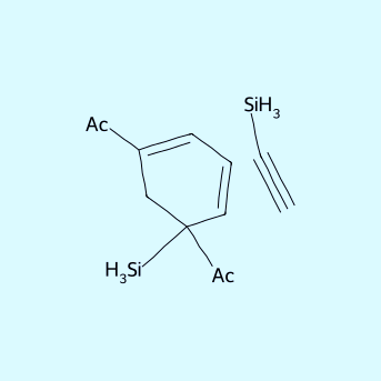 C#C[SiH3].CC(=O)C1=CC=CC([SiH3])(C(C)=O)C1